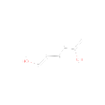 C=C(O)C[CH]C=CO